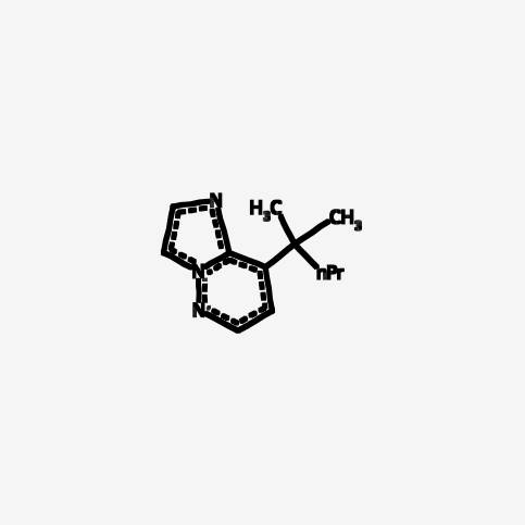 CCCC(C)(C)c1ccnn2ccnc12